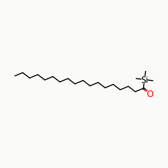 CCCCCCCCCCCCCCCCCC(=O)[Si](C)(C)C